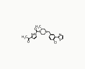 CC(=O)c1ccn(C(=O)N2CCN(Cc3ccc(Cl)c(-c4nccs4)c3)C[C@H]2C)n1